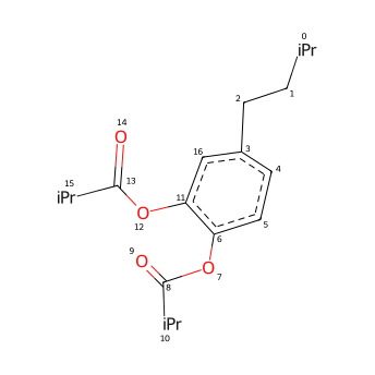 CC(C)CCc1ccc(OC(=O)C(C)C)c(OC(=O)C(C)C)c1